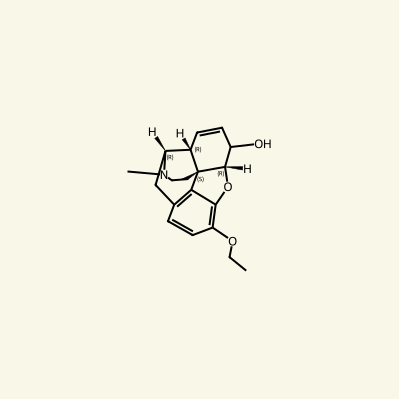 CCOc1ccc2c3c1O[C@H]1C(O)C=C[C@H]4[C@@H](C2)N(C)CC[C@]314